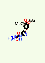 COC[C@]1(C(=O)OC(C)(C)C)CC[C@H](Oc2ccc(NC(=O)C(=O)NN)cn2)CC1